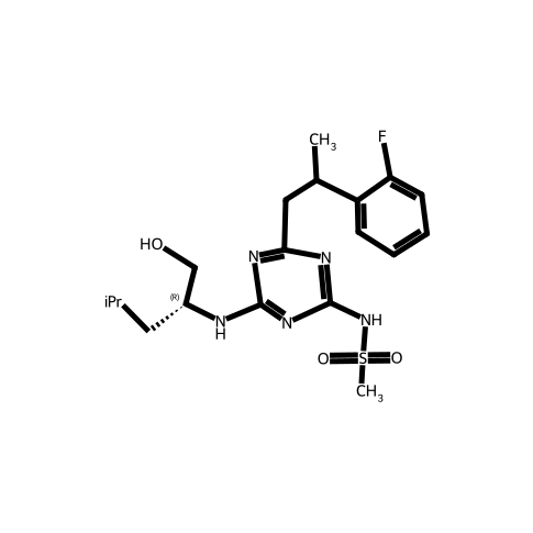 CC(C)C[C@H](CO)Nc1nc(CC(C)c2ccccc2F)nc(NS(C)(=O)=O)n1